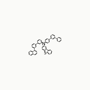 c1ccc(-c2cccc(-c3ccc(N(c4cccc(-c5cccc(-c6cccc7ccccc67)c5)c4)c4ccc5sc6ccccc6c5c4)cc3)c2)cc1